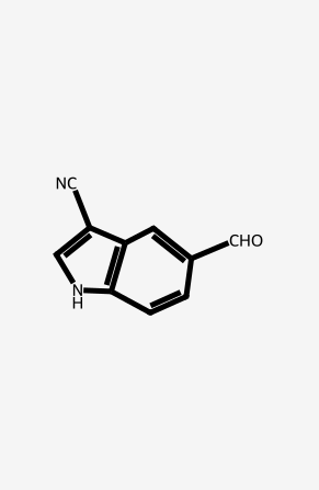 N#Cc1c[nH]c2ccc(C=O)cc12